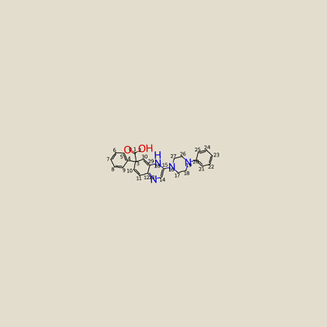 O=C(O)C1(c2ccccc2)C=CC2=NC=C(N3CCN(c4ccccc4)CC3)NC2=C1